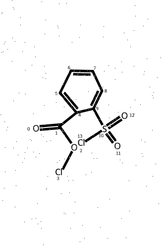 O=C(OCl)c1ccccc1S(=O)(=O)Cl